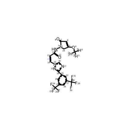 [2H]C([2H])([2H])OC1=CC(=O)N(NC(=O)/C=C\n2cnc(-c3cc(C(F)(F)F)cc(C(F)(F)F)c3)n2)C1